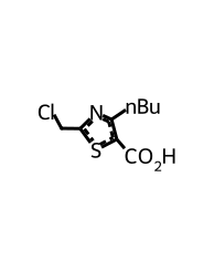 CCCCc1nc(CCl)sc1C(=O)O